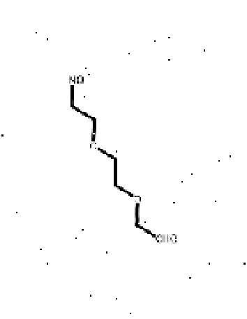 O=CCOCCOCCN=O